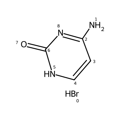 Br.Nc1cc[nH]c(=O)n1